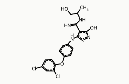 CC(CO)NC(=N)c1c(O)nsc1Nc1ccc(Oc2ccc(Cl)cc2Cl)cc1